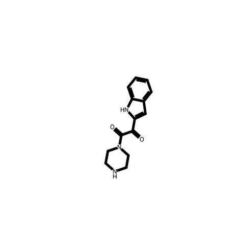 O=C(C(=O)N1CCNCC1)c1cc2ccccc2[nH]1